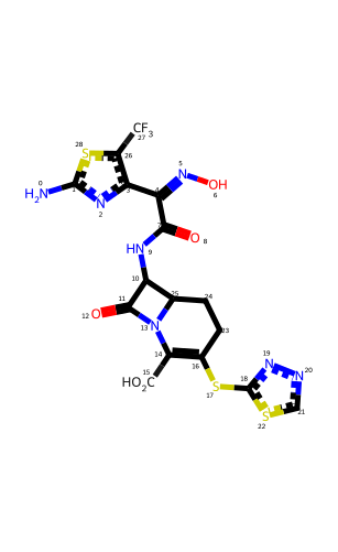 Nc1nc(/C(=N/O)C(=O)NC2C(=O)N3C(C(=O)O)=C(Sc4nncs4)CCC23)c(C(F)(F)F)s1